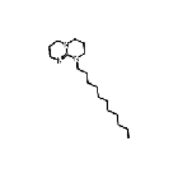 CCCCCCCCCCCN1CCCN2CCCN=C12